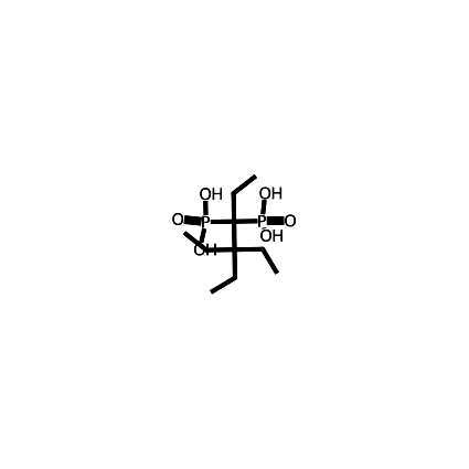 CCC(CC)(CC)C(CC)(P(=O)(O)O)P(=O)(O)O